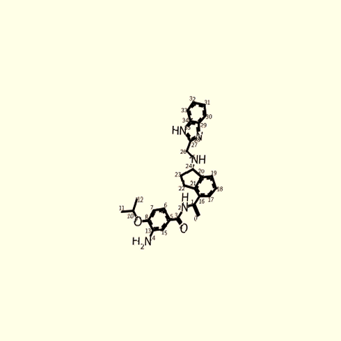 C=C(NC(=O)c1ccc(OC(C)C)c(N)c1)c1cccc2c1CC[C@@H]2NCc1nc2ccccc2[nH]1